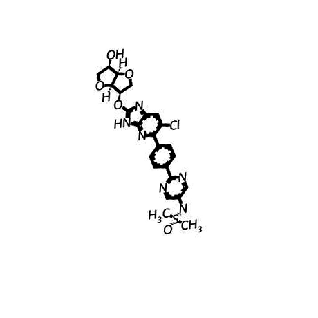 CS(C)(=O)=Nc1cnc(-c2ccc(-c3nc4[nH]c(O[C@@H]5CO[C@H]6[C@@H]5OC[C@H]6O)nc4cc3Cl)cc2)nc1